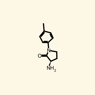 Cc1ccc(N2CC[C@@H](N)C2=O)cc1